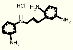 Cl.Nc1cccc(NCC=Cc2cc(N)ccc2N)c1